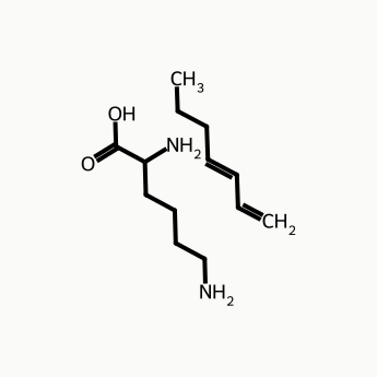 C=CC=CCCC.NCCCCC(N)C(=O)O